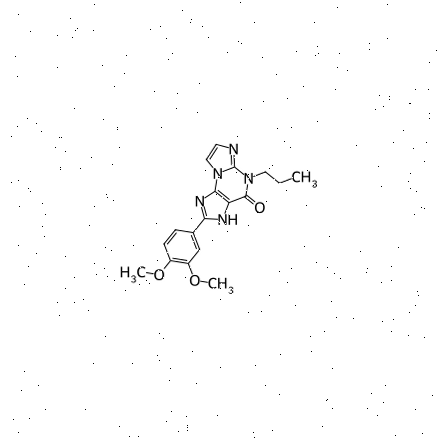 CCCn1c(=O)c2[nH]c(-c3ccc(OC)c(OC)c3)nc2n2ccnc12